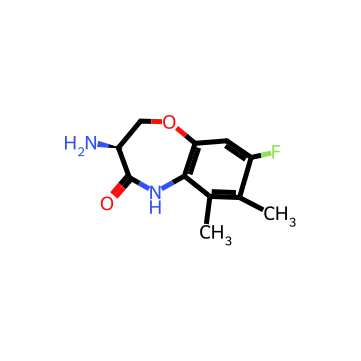 Cc1c(F)cc2c(c1C)NC(=O)[C@@H](N)CO2